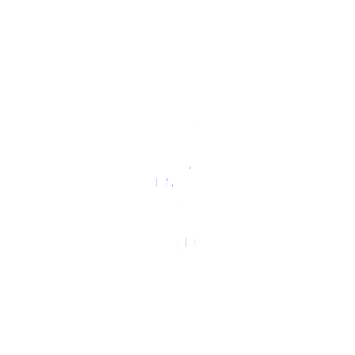 CCOC(=O)CCNCc1ccsc1